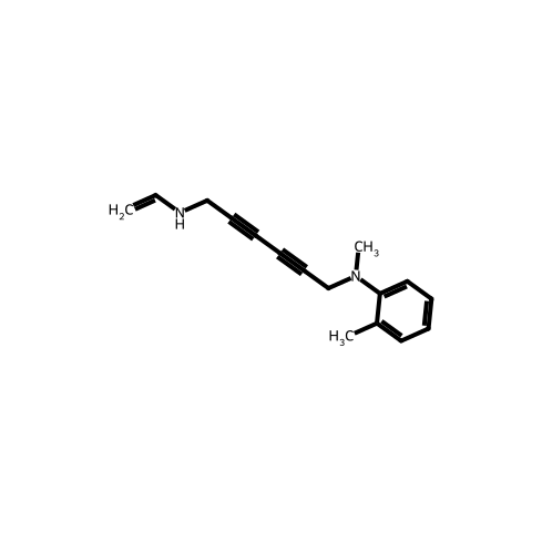 C=CNCC#CC#CCN(C)c1ccccc1C